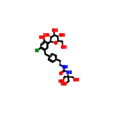 O=C(NCCc1ccc(Cc2cc([C@@H]3O[C@H](CO)[C@@H](O)[C@H](O)[C@H]3O)c(O)cc2Cl)cc1)NC(CO)(CO)CO